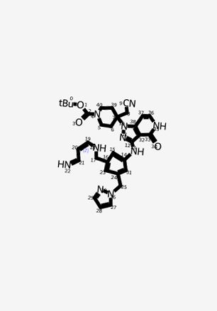 CC(C)(C)OC(=O)N1CCC(CC#N)(n2nc(Nc3cc(CN/C=C\C=N)cc(Cn4cccn4)c3)c3c(=O)[nH]ccc32)CC1